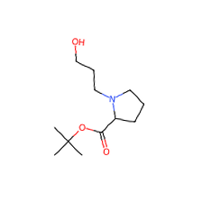 CC(C)(C)OC(=O)C1CCCN1CCCO